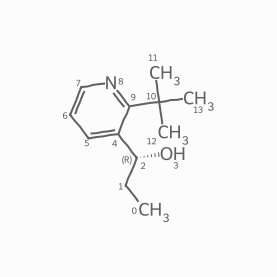 CC[C@@H](O)c1cccnc1C(C)(C)C